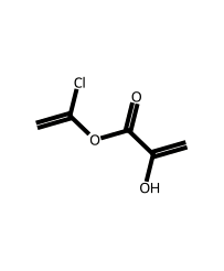 C=C(Cl)OC(=O)C(=C)O